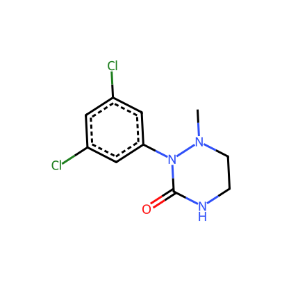 CN1CCNC(=O)N1c1cc(Cl)cc(Cl)c1